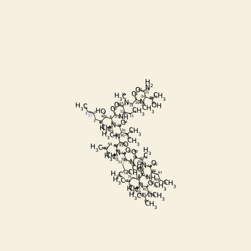 C/C=C/C[C@@H](C)[C@H](O)C(C(=O)N[C@H](CC)C(=O)N(C)CC(=O)N(C)C(C(N)=O)[C@H](C)O)N(C)C(=O)[C@@H](C(C)C)N(C)C(=O)[C@@H](CC(C)C)N(C)C(=O)[C@@H](CC(C)C)N(C)C(=O)[C@H](C)NC(=O)[C@@H](CC(C)C)NC(=O)[C@H](CC(C)C)N(C)C(=O)[C@@H](C)C(C)C